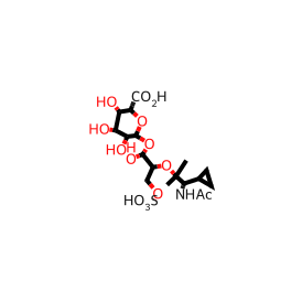 CC(=O)NC(C1CC1)C(C)(C)OC(COS(=O)(=O)O)C(O)OC1OC(C(=O)O)C(O)C(O)C1O